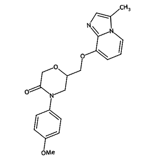 COc1ccc(N2CC(COc3cccn4c(C)cnc34)OCC2=O)cc1